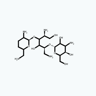 NCC1CCC(N)[C@@H](OC(C(O)[C@H](CN)O[C@H]2OC(CO)[C@H](O)C(N)C2O)[C@@H](N)CO)O1